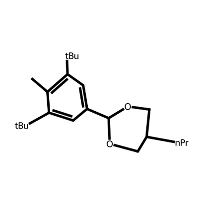 CCCC1COC(c2cc(C(C)(C)C)c(C)c(C(C)(C)C)c2)OC1